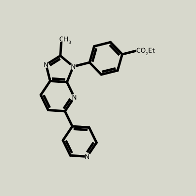 CCOC(=O)c1ccc(-n2c(C)nc3ccc(-c4ccncc4)nc32)cc1